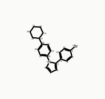 Brc1ccc(-c2cccn2-c2ccc(C3CCCCC3)cc2)cc1